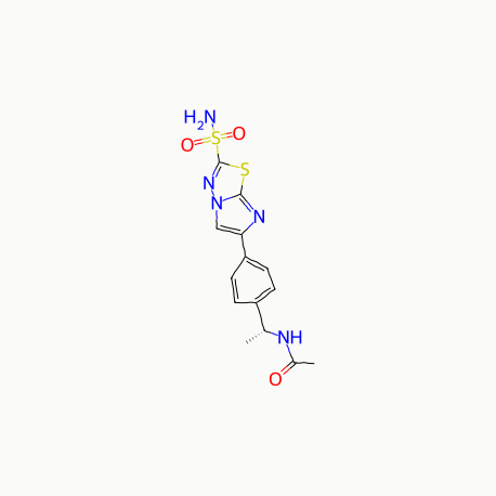 CC(=O)N[C@H](C)c1ccc(-c2cn3nc(S(N)(=O)=O)sc3n2)cc1